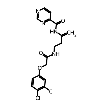 C=C(CCNC(=O)COc1ccc(Cl)c(Cl)c1)NC(=O)c1ccncn1